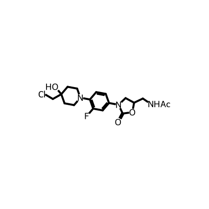 CC(=O)NCC1CN(c2ccc(N3CCC(O)(CCl)CC3)c(F)c2)C(=O)O1